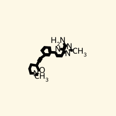 Cc1nc(N)c2nc(-c3cccc(C#CC4CCCN(C)C4=O)c3)ccc2n1